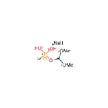 COC(OC)O[PH](C)(O)O.[NaH]